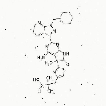 CC(C)(Cc1csc(C2(C)C(=O)Nc3nc(-c4nn(CC5CCCCC5)c5ncccc45)nc(N)c32)n1)C(=O)O